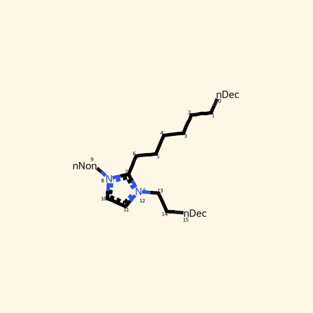 CCCCCCCCCCCCCCCCc1n(CCCCCCCCC)cc[n+]1CCCCCCCCCCCC